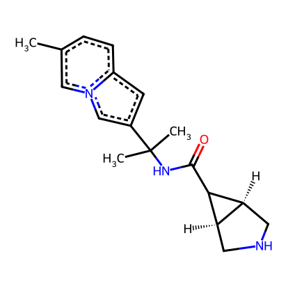 Cc1ccc2cc(C(C)(C)NC(=O)C3[C@H]4CNC[C@@H]34)cn2c1